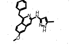 COc1ccc2c(Cc3ccccc3)nc(Nc3cc(C)[nH]n3)cc2c1